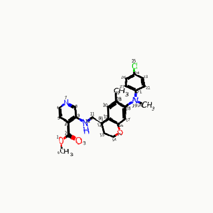 COC(=O)c1ccncc1NC[C@@H]1CCOc2cc(N(C)c3ccc(Cl)cc3)c(C)cc21